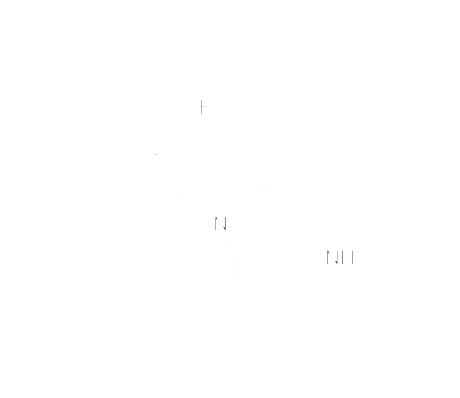 CC(F)CN1CCNCC1